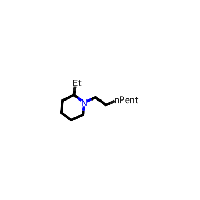 CCCCCCCN1CCCCC1CC